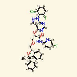 CC(C)(C)[Si](OCCOC[C@H](Oc1ncnc2c1cnn2-c1c(F)cccc1Cl)C(=O)Nc1ccc(F)cn1)(c1ccccc1)c1ccccc1